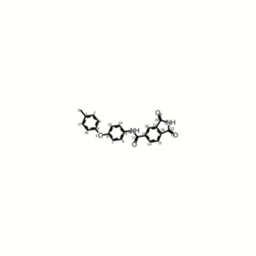 Cc1ccc(Oc2ccc(NC(=O)c3ccc4c(c3)C(=O)NC4=O)cc2)cc1